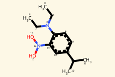 CCN(CC)c1ccc(C(C)C)cc1N(O)O